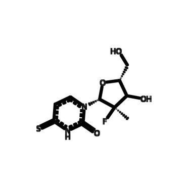 C[C@@]1(F)C(O)[C@@H](CO)O[C@H]1n1ccc(=S)[nH]c1=O